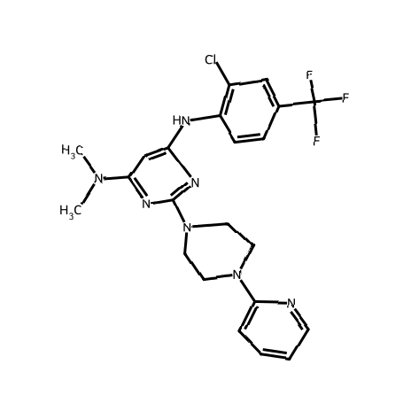 CN(C)c1cc(Nc2ccc(C(F)(F)F)cc2Cl)nc(N2CCN(c3ccccn3)CC2)n1